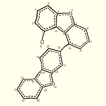 Clc1cccc2oc3cccc(-c4ccc5c(c4)oc4ccccc45)c3c12